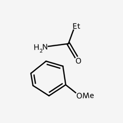 CCC(N)=O.COc1ccccc1